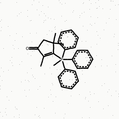 CC1=C(P(C)(c2ccccc2)(c2ccccc2)c2ccccc2)C(C)(C)CC1=O